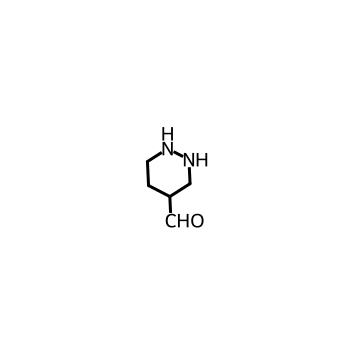 O=CC1CCNNC1